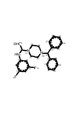 O=CC(Nc1cc(F)cc(F)c1)N1CCN(C(c2ccccc2)c2ccccc2)CC1